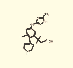 Cl.Nc1nc(Nc2cc(Cl)c(C3=CCNCC3)c(C(F)(F)CF)c2)n[nH]1